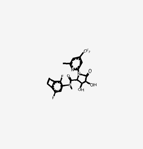 Cc1cc(C(F)(F)F)cc(N2C(=O)C(O)C(O)C2C(=O)N(C)c2cc(F)c3c(c2F)CC3)n1